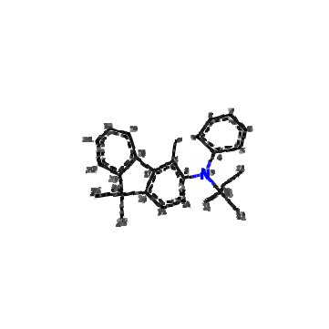 Cc1c(N(c2ccccc2)C(C)(C)C)ccc2c1-c1ccccc1C2(C)C